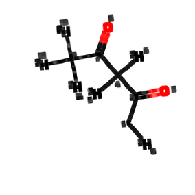 [2H]CC(=O)C([2H])([2H])C(=O)C([2H])([2H])[2H]